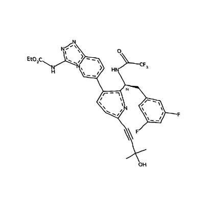 CCOC(=O)Nc1nnc2ccc(-c3ccc(C#CC(C)(C)O)nc3[C@H](Cc3cc(F)cc(F)c3)NC(=O)C(F)(F)F)cn12